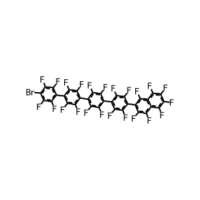 Fc1c(F)c(-c2c(F)c(F)c(-c3c(F)c(F)c(-c4c(F)c(F)c(-c5c(F)c(F)c6c(F)c(F)c(F)c(F)c6c5F)c(F)c4F)c(F)c3F)c(F)c2F)c(F)c(F)c1Br